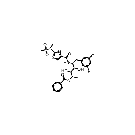 C[C@@H](NC(=O)c1ccccc1)[C@@H](O)[C@H](O)[C@H](Cc1cc(F)cc(F)c1)NC(=O)c1csc(N(C)S(C)(=O)=O)n1